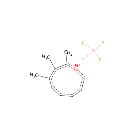 Cc1ccccc[oH+]c(C)c1C.F[B-](F)(F)F